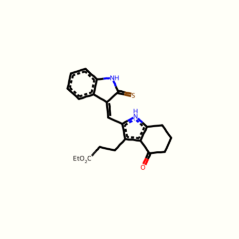 CCOC(=O)CCc1c(C=C2C(=S)Nc3ccccc32)[nH]c2c1C(=O)CCC2